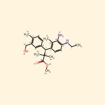 CCNc1ccc([C@H](c2ccc(C)c(CO)c2)C(C)(C)C(=O)OC)c(C)c1N